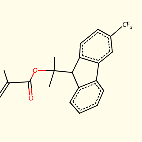 C=C(C)C(=O)OC(C)(C)C1c2ccccc2-c2cc(C(F)(F)F)ccc21